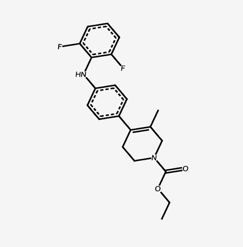 CCOC(=O)N1CCC(c2ccc(Nc3c(F)cccc3F)cc2)=C(C)C1